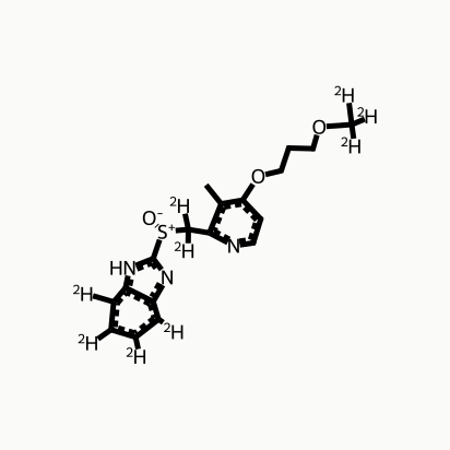 [2H]c1c([2H])c([2H])c2[nH]c([S+]([O-])C([2H])([2H])c3nccc(OCCCOC([2H])([2H])[2H])c3C)nc2c1[2H]